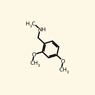 CNCc1ccc(OC)cc1OC